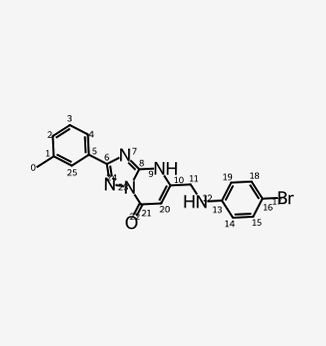 Cc1cccc(-c2nc3[nH]c(CNc4ccc(Br)cc4)cc(=O)n3n2)c1